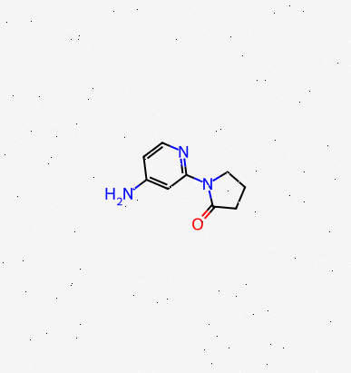 Nc1ccnc(N2CCCC2=O)c1